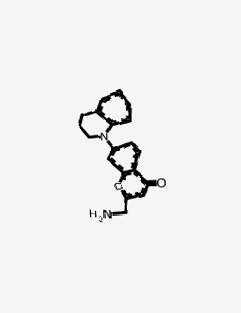 NCc1cc(=O)c2ccc(N3CCCc4ccccc43)cc2o1